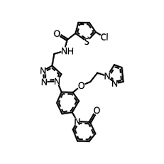 O=C(NCc1cn(-c2ccc(-n3ccccc3=O)cc2OCCn2cccn2)nn1)c1ccc(Cl)s1